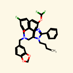 CCCCn1c(-c2ccccc2)nc(-c2ccc(F)cc2)c1CN(Cc1ccc(OC(F)F)cc1)Cc1ccc2c(c1)OCO2